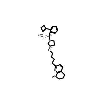 O=C(O)[C@@H](c1ccccc1C1CCC1)N1CC[C@@H](OCCCCc2ccc3c(n2)NCCC3)C1